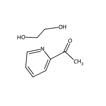 CC(=O)c1ccccn1.OCCO